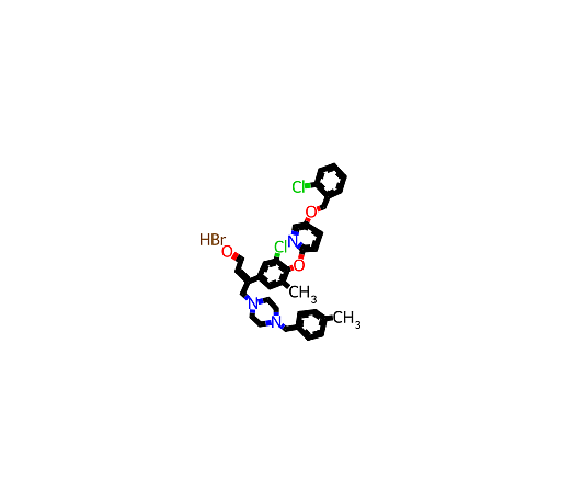 Br.Cc1ccc(CN2CCN(C/C(=C/C=O)c3cc(C)c(Oc4ccc(OCc5ccccc5Cl)cn4)c(Cl)c3)CC2)cc1